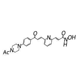 CC(=O)N1CCN(c2ccc(C(=O)/C=C/c3cccc(/C=C/C(=O)NO)n3)cc2)CC1